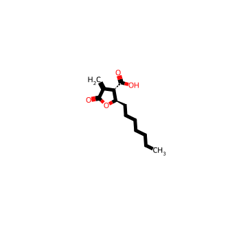 C=C1C(=O)O[C@H](CCCCCCC)[C@H]1C(=O)O